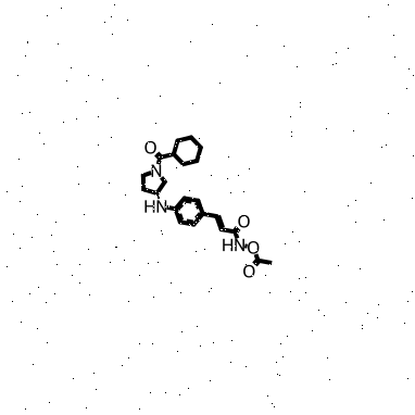 CC(=O)ONC(=O)/C=C/c1ccc(N[C@@H]2CCN(C(=O)C3CCCCC3)C2)cc1